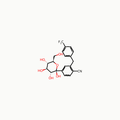 N#Cc1ccc([C@@]2(O)O[C@H](CO)[C@@H](O)[C@H](O)[C@H]2O)cc1Cc1ccc(C(F)(F)F)cc1